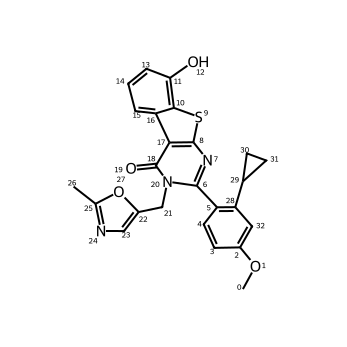 COc1ccc(-c2nc3sc4c(O)cccc4c3c(=O)n2Cc2cnc(C)o2)c(C2CC2)c1